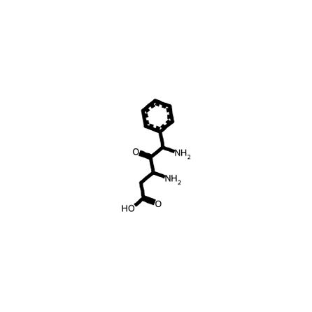 NC(CC(=O)O)C(=O)C(N)c1ccccc1